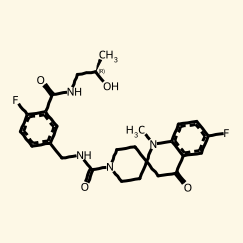 C[C@@H](O)CNC(=O)c1cc(CNC(=O)N2CCC3(CC2)CC(=O)c2cc(F)ccc2N3C)ccc1F